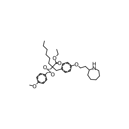 CCCCCCC(Cc1ccc(OCCC2CCCCCN2)cc1)(C(=O)OCC)S(=O)(=O)c1ccc(OC)cc1